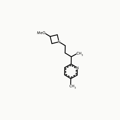 COC1CN(CCC(C)c2ccc(C)cn2)C1